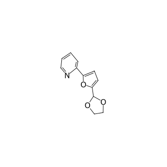 c1ccc(-c2ccc(C3OCCO3)o2)nc1